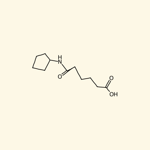 O=C(O)CCCCC(=O)NC1CCCC1